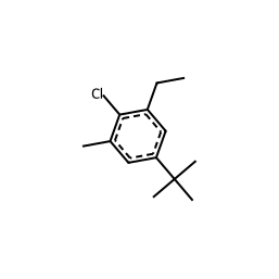 CCc1cc(C(C)(C)C)cc(C)c1Cl